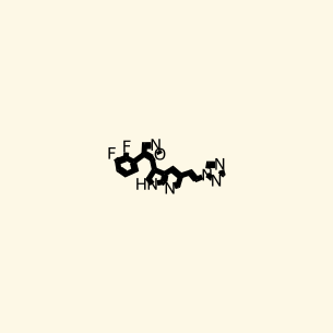 Fc1cccc(-c2cnoc2C2CNc3ncc(/C=C/n4cncn4)cc32)c1F